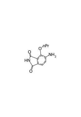 CCCOc1c(N)ccc2c1C(=O)NC2=O